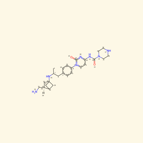 CC(Cc1ccc(-n2ccc(NC(=O)N3CCNCC3)nc2=O)cc1)NC12CC(C1)[C@@H](CN)C2